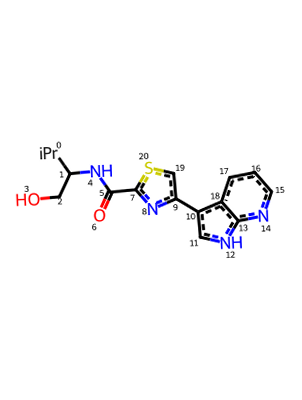 CC(C)C(CO)NC(=O)c1nc(-c2c[nH]c3ncccc23)cs1